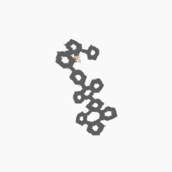 c1ccc(-c2cccc3c2sc2c(-c4ccc(-c5c6ccccc6c(-c6ccc7c(c6)-c6ccccc6-c6ccccc6-c6ccccc6-7)c6ccccc56)cc4)cccc23)cc1